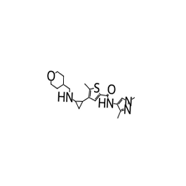 Cc1nn(C)cc1NC(=O)c1cc(C2CC2NCC2CCOCC2)c(C)s1